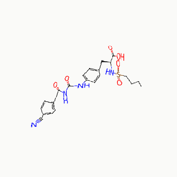 CCCCS(=O)(=O)N[C@@H](Cc1ccc(NC(=O)NC(=O)c2ccc(C#N)cc2)cc1)C(=O)O